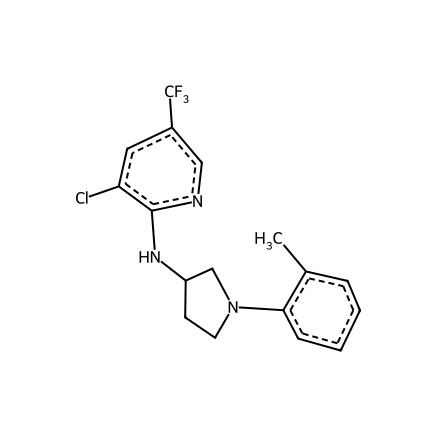 Cc1ccccc1N1CCC(Nc2ncc(C(F)(F)F)cc2Cl)C1